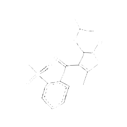 CC1=C(C(=O)c2ccccc2S(C)(=O)=O)C(OC(C)C)N(Cl)O1